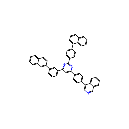 c1cc(-c2ccc3ccccc3c2)cc(-c2cc(-c3ccc(-c4cncc5ccccc45)cc3)nc(-c3ccc(-c4cccc5ccccc45)cc3)n2)c1